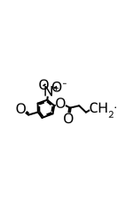 [CH2]CCC(=O)Oc1ccc(C=O)cc1[N+](=O)[O-]